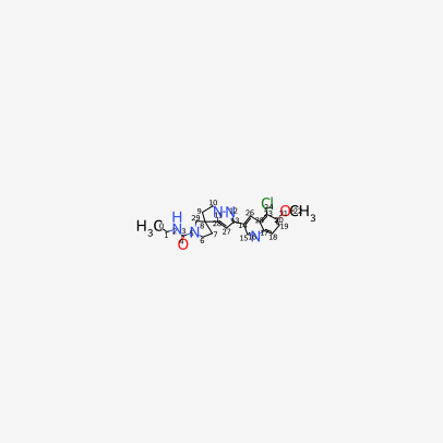 CCNC(=O)N1CCC2(CCn3nc(-c4cnc5ccc(OC)c(Cl)c5c4)cc32)C1